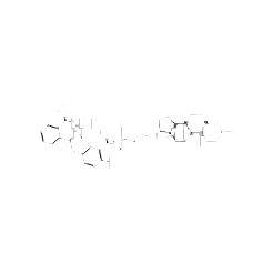 CC1CC[C@@]2(C)[C@@H](CC[C@@H]3[C@@H]2CC[C@]2(C)[C@@H](OCCCNC(=O)c4cc(Cc5n[nH]c(=O)c6ccccc56)ccc4F)CC[C@@H]32)C1